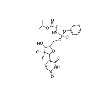 CC(C)OC(=O)[C@H](C)NP(=O)(OCC1OC(n2ccc(=O)[nH]c2=O)C(F)(Cl)C1O)Oc1ccccc1